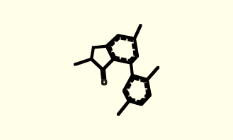 Cc1ccc(C)c(-c2cc(C)cc3c2C(=O)C(C)C3)c1